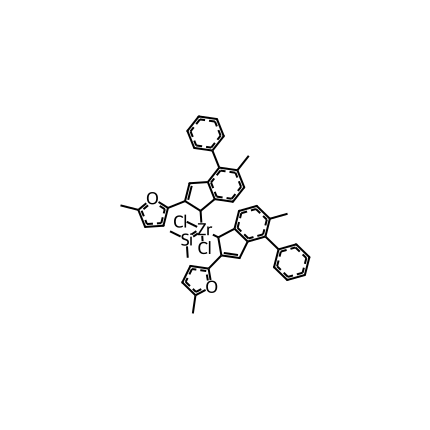 Cc1ccc(C2=Cc3c(ccc(C)c3-c3ccccc3)[CH]2[Zr]([Cl])([Cl])([CH]2C(c3ccc(C)o3)=Cc3c2ccc(C)c3-c2ccccc2)=[Si](C)C)o1